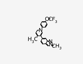 CC1=CCN(c2ccc(OC(F)(F)F)cc2)C=C1c1ccc2cn(C)nc2c1